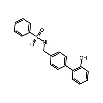 O=S(=O)(NCc1ccc(-c2[c]cccc2O)cc1)c1ccccc1